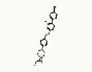 CCC[SiH]1CCC(c2ccc(CCc3ccc(-c4ccc(F)cc4)c(F)c3)cc2)CC1